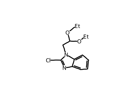 CCOC(Cn1c(Cl)nc2ccccc21)OCC